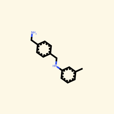 Cc1cccc(NCc2ccc(CN)cc2)c1